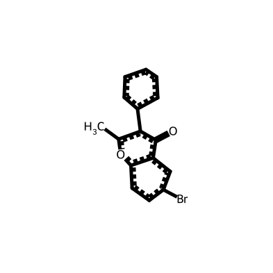 Cc1oc2ccc(Br)cc2c(=O)c1-c1ccccc1